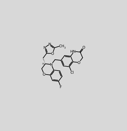 Cc1nnc(C[C@H]2COc3cc(F)ccc3N2Cc2cc(Cl)c3c(c2)NC(=O)CO3)o1